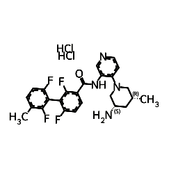 Cc1ccc(F)c(-c2c(F)ccc(C(=O)Nc3cnccc3N3C[C@H](C)C[C@H](N)C3)c2F)c1F.Cl.Cl